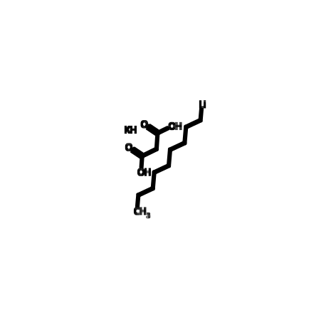 O=C(O)CC(=O)O.[KH].[Li][CH2]CCCCCCCC